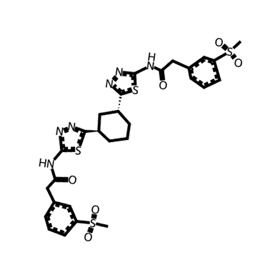 CS(=O)(=O)c1cccc(CC(=O)Nc2nnc([C@@H]3CCC[C@@H](c4nnc(NC(=O)Cc5cccc(S(C)(=O)=O)c5)s4)C3)s2)c1